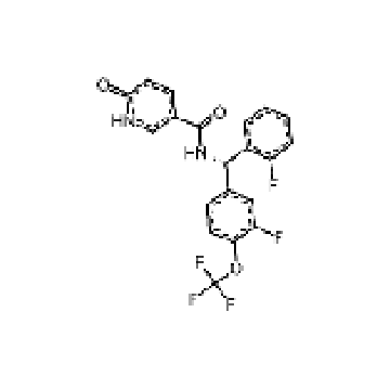 O=C(N[C@@H](c1ccc(OC(F)(F)F)c(F)c1)c1ccccc1F)c1ccc(=O)[nH]c1